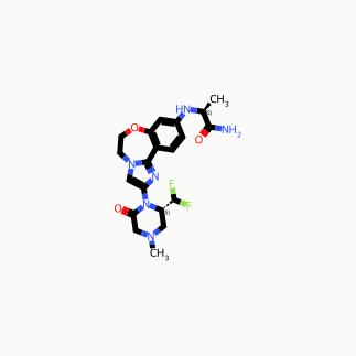 C[C@H](Nc1ccc2c(c1)OCCn1cc(N3C(=O)CN(C)C[C@H]3C(F)F)nc1-2)C(N)=O